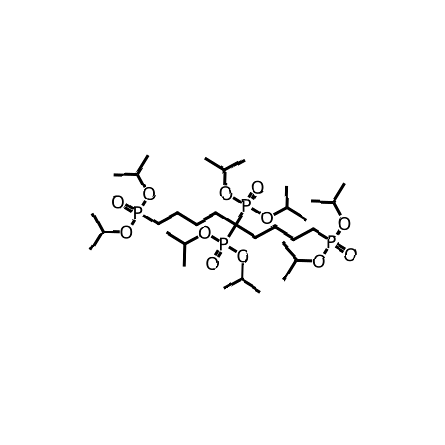 CC(C)OP(=O)(CCCCC(CCCCP(=O)(OC(C)C)OC(C)C)(P(=O)(OC(C)C)OC(C)C)P(=O)(OC(C)C)OC(C)C)OC(C)C